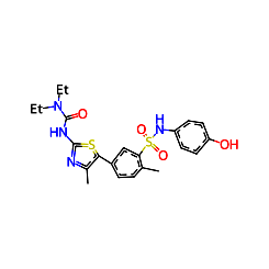 CCN(CC)C(=O)Nc1nc(C)c(-c2ccc(C)c(S(=O)(=O)Nc3ccc(O)cc3)c2)s1